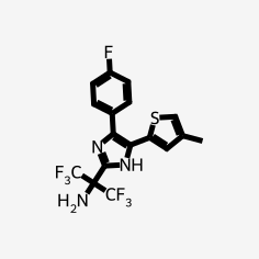 Cc1csc(-c2[nH]c(C(N)(C(F)(F)F)C(F)(F)F)nc2-c2ccc(F)cc2)c1